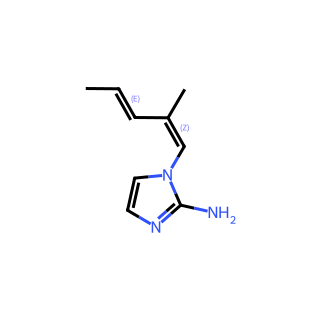 C/C=C/C(C)=C\n1ccnc1N